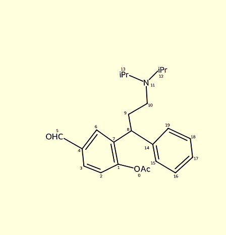 CC(=O)Oc1ccc(C=O)cc1C(CCN(C(C)C)C(C)C)c1ccccc1